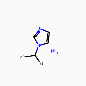 CCCC(CC)n1ccnc1.N